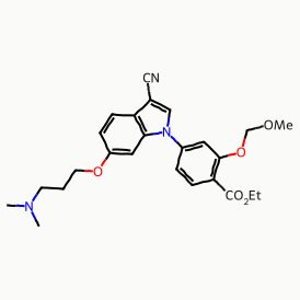 CCOC(=O)c1ccc(-n2cc(C#N)c3ccc(OCCCN(C)C)cc32)cc1OCOC